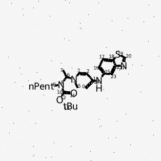 C=C(/C=C\N(C)C(C)N(CCCCC)C(=O)OC(C)(C)C)Nc1ccc2scnc2c1